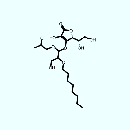 CCCCCCCCOC(CO)C(OCC(C)O)OC1=C(O)C(=O)O[C@@H]1[C@@H](O)CO